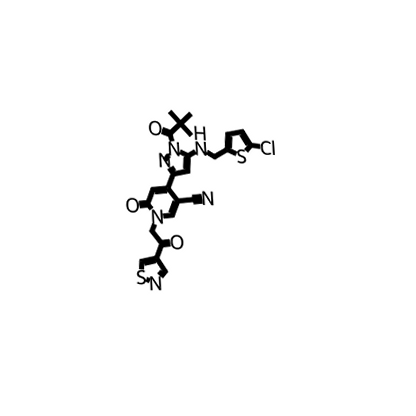 CC(C)(C)C(=O)n1nc(-c2cc(=O)n(CC(=O)c3cnsc3)cc2C#N)cc1NCc1ccc(Cl)s1